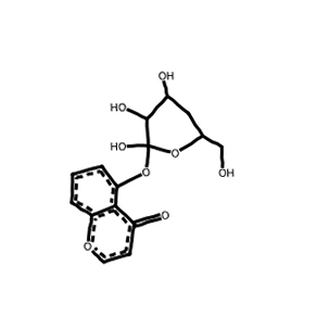 O=c1ccoc2cccc(OC3(O)OC(CO)CC(O)C3O)c12